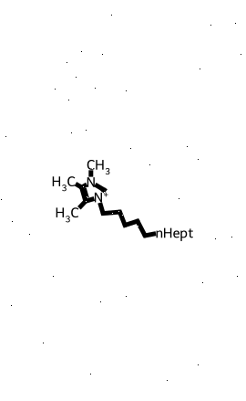 CCCCCCCCCCCC[n+]1cn(C)c(C)c1C